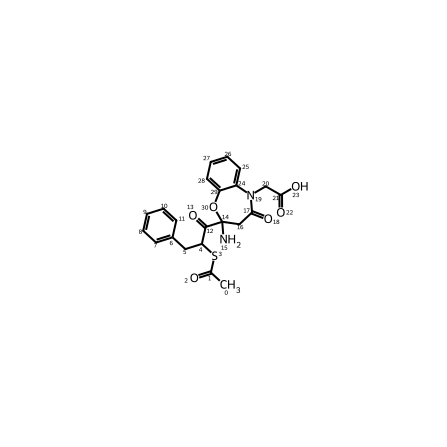 CC(=O)SC(Cc1ccccc1)C(=O)C1(N)CC(=O)N(CC(=O)O)c2ccccc2O1